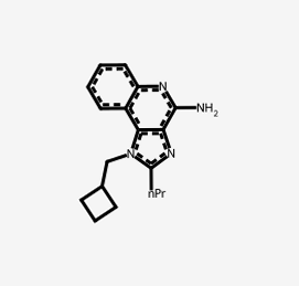 CCCc1nc2c(N)nc3ccccc3c2n1CC1CCC1